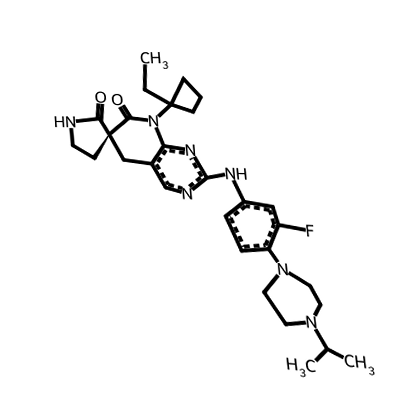 CCC1(N2C(=O)[C@]3(CCNC3=O)Cc3cnc(Nc4ccc(N5CCN(C(C)C)CC5)c(F)c4)nc32)CCC1